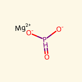 O=[PH]([O-])[O-].[Mg+2]